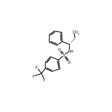 CC[C@H](NS(=O)(=O)c1ccc(C(F)(F)F)cc1)c1ccccc1